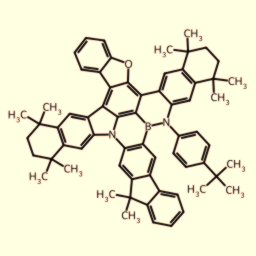 CC(C)(C)c1ccc(N2B3c4cc5c(cc4-n4c6cc7c(cc6c6c8c(oc9ccccc98)c(c3c64)-c3cc4c(cc32)C(C)(C)CCC4(C)C)C(C)(C)CCC7(C)C)C(C)(C)c2ccccc2-5)cc1